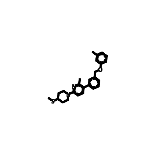 CSC1CCN(c2ccc(-c3cccc(COc4cccc(C)c4)c3)c(C)n2)CC1